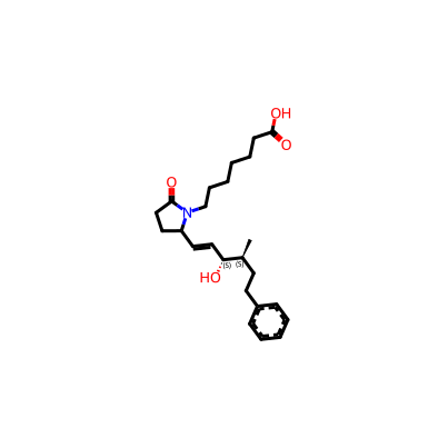 C[C@@H](CCc1ccccc1)[C@H](O)C=CC1CCC(=O)N1CCCCCCC(=O)O